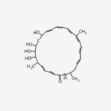 CC1=C/C=C/C=C/CC(C)NC(=O)/C=C/C=C/C(C)C(O)C(O)C(O)CC(O)/C=C/C=C\C=C\1